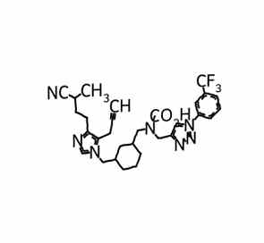 C#CCc1c(CCC(C)C#N)ncn1CC1CCCC(CN(Cc2cn(-c3cccc(C(F)(F)F)c3)nn2)C(=O)O)C1